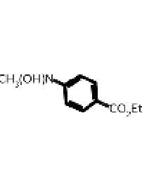 CCOC(=O)c1ccc(N(C)O)cc1